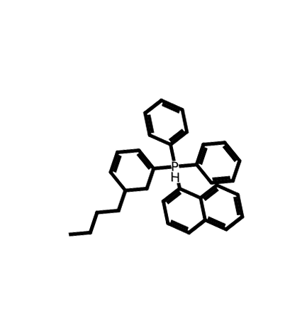 CCCCC1C=CC=C([PH](c2ccccc2)(c2ccccc2)c2cccc3ccccc23)C1